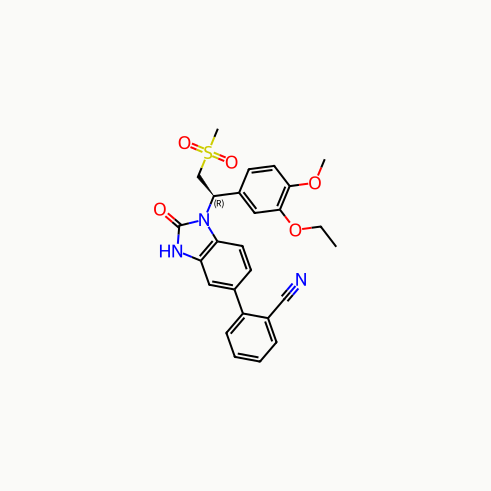 CCOc1cc([C@H](CS(C)(=O)=O)n2c(=O)[nH]c3cc(-c4ccccc4C#N)ccc32)ccc1OC